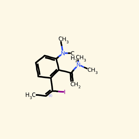 C=C(c1c(/C(I)=C\C)cccc1N(C)C)N(C)C